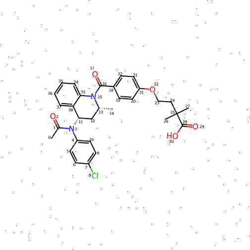 CC(=O)N(c1ccc(Cl)cc1)[C@H]1C[C@@H](C)N(C(=O)c2ccc(OCCC(C)(C)C(=O)O)cc2)c2ccccc21